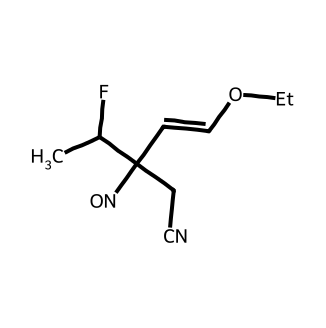 CCO/C=C/C(CC#N)(N=O)C(C)F